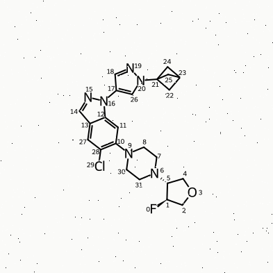 F[C@@H]1COC[C@H]1N1CCN(c2cc3c(cnn3-c3cnn(C45CC(C4)C5)c3)cc2Cl)CC1